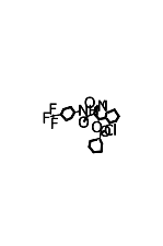 Cn1c(=O)c(C(=O)Nc2ccc(C(F)(F)F)cc2)c(OC(=O)c2ccccc2)c2c(Cl)cccc21